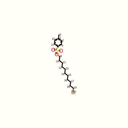 Cc1ccc(S(=O)(=O)OCCCCCCCCCCCBr)cc1